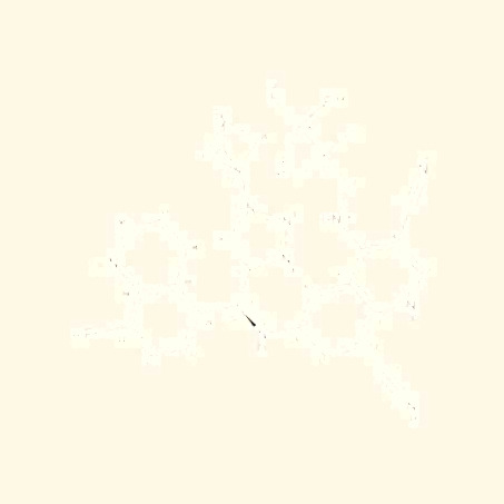 CC(C)(CNc1c(C#N)cnc2c(C#N)cc(N[C@H](c3cn(C45CC(C4)C5)nn3)c3ccc(F)c4ncccc34)cc12)C(F)(F)F